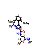 COc1cccc(OC)c1-c1cc(C(=O)N[C@@H](CCC(C)C)CC(=O)NC(C)C)nn1CC(C)C